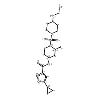 CC(C)CNC1CCN(S(=O)(=O)N2CC[C@H](NC(=O)c3cc(C4CC4)on3)C[C@@H]2C)CC1